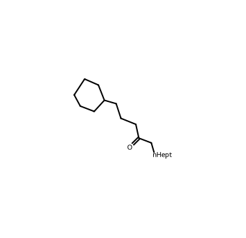 CCCCCCCCC(=O)CCCC1CCCCC1